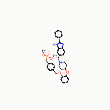 CCOP(=O)(Cc1ccc(COc2ccccc2OC2CCN(Cc3ccc4nc(-c5ccccc5)[nH]c4c3)CC2)cc1)OCC